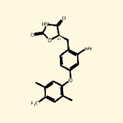 CCCc1cc(Oc2cc(C)c(C(F)(F)F)cc2C)ccc1C[C@H]1OC(=O)NC1=O